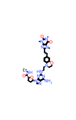 CCNC(=O)[C@@H]1CC[C@H](n2cnc3c(N)nc(NCCN4CCOc5cc(/C=C/c6nc7c(c(=O)n(C)c(=O)n7C)n6C)ccc54)nc32)O1